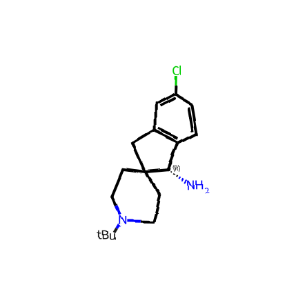 CC(C)(C)N1CCC2(CC1)Cc1cc(Cl)ccc1[C@@H]2N